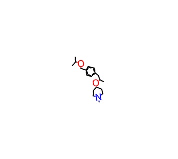 CC(C)OCc1ccc(CC(C)OC2CCN(C)CC2)cc1